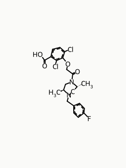 C[C@@H]1CN(Cc2ccc(F)cc2)[C@@H](C)CN1C(=O)COc1c(Cl)ccc(C(=O)O)c1Cl